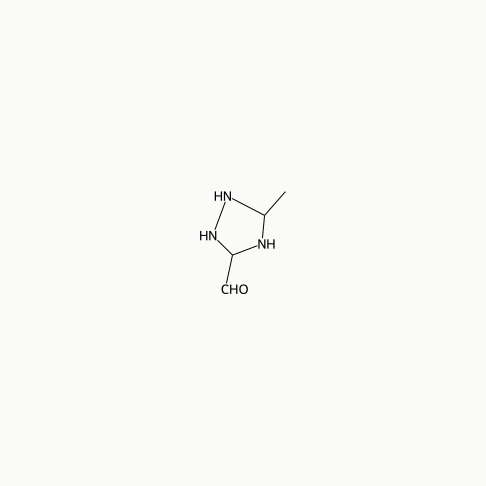 CC1NNC(C=O)N1